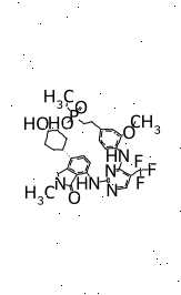 CCP(=O)(O)CCc1ccc(Nc2nc(Nc3ccc([C@H]4CC[C@H](O)CC4)c4c3C(=O)N(C)C4)ncc2C(F)(F)F)c(OC)c1